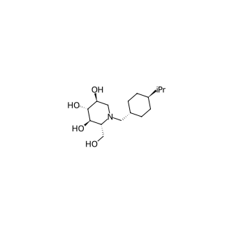 CC(C)[C@H]1CC[C@H](CN2C[C@H](O)[C@@H](O)[C@H](O)[C@H]2CO)CC1